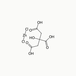 O=C(O)CC(O)(CC(=O)O)C(=O)O.[Cl][Zn][Cl]